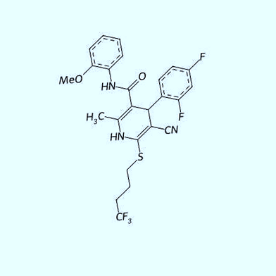 COc1ccccc1NC(=O)C1=C(C)NC(SCCCC(F)(F)F)=C(C#N)C1c1ccc(F)cc1F